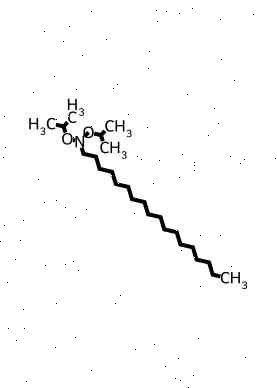 CCCCCCCCCCCCCCCCCCN(OC(C)C)OC(C)C